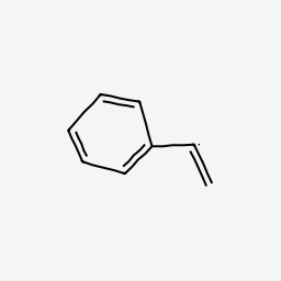 C=[C]c1ccccc1